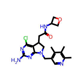 Cc1ncc(CN2CC(CC(=O)NC3COC3)c3c(Cl)nc(N)nc32)c(C)c1C